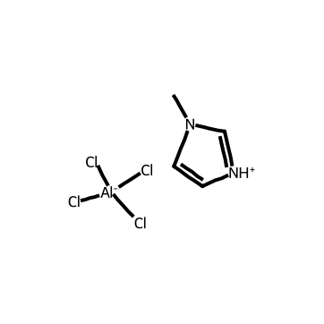 Cn1cc[nH+]c1.[Cl][Al-]([Cl])([Cl])[Cl]